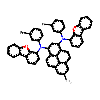 Cc1cc2ccc3c(N(c4cccc(C(C)C)c4)c4cccc5c4oc4ccccc45)cc(N(c4cccc(C(C)C)c4)c4cccc5c4oc4ccccc45)c4ccc(c1)c2c34